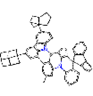 Cc1cc2c3c(c1)N1c4ccccc4C4(c5ccccc5-c5ccccc54)c4cccc(c41)B3n1c3ccc(C45CC6CC4CCC65)cc3c3cc(C45CC6CC7CC(C4)C765)cc-2c31